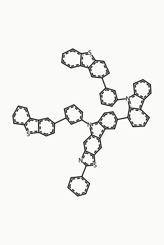 c1ccc(-c2nc3cc4c(cc3s2)c2cc(-c3cccc5c6ccccc6n(-c6cccc(-c7ccc8sc9ccccc9c8c7)c6)c35)ccc2n4-c2cccc(-c3ccc4sc5ccccc5c4c3)c2)cc1